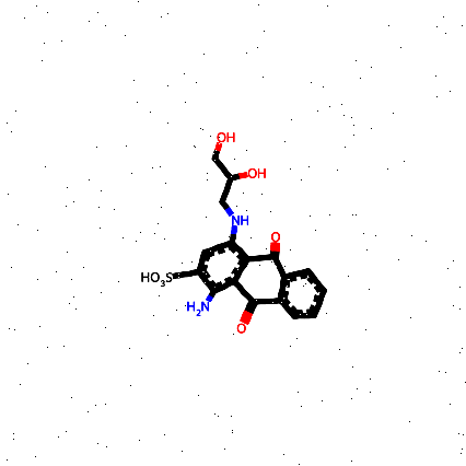 Nc1c(S(=O)(=O)O)cc(NCC(O)CO)c2c1C(=O)c1ccccc1C2=O